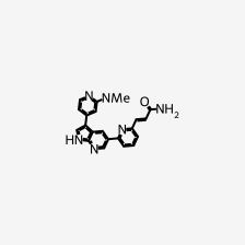 CNc1cc(-c2c[nH]c3ncc(-c4cccc(C=CC(N)=O)n4)cc23)ccn1